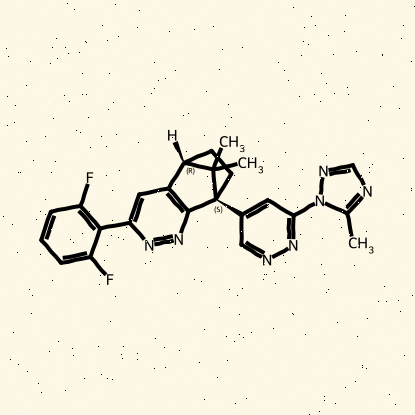 Cc1ncnn1-c1cc([C@@]23CC[C@@H](c4cc(-c5c(F)cccc5F)nnc42)C3(C)C)cnn1